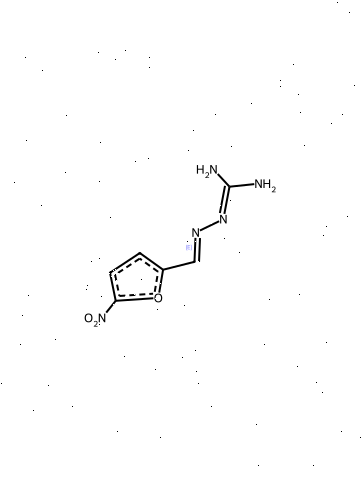 NC(N)=N/N=C/c1ccc([N+](=O)[O-])o1